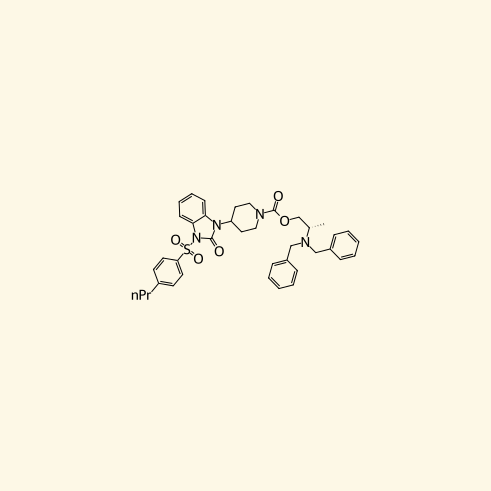 CCCc1ccc(S(=O)(=O)n2c(=O)n(C3CCN(C(=O)OC[C@H](C)N(Cc4ccccc4)Cc4ccccc4)CC3)c3ccccc32)cc1